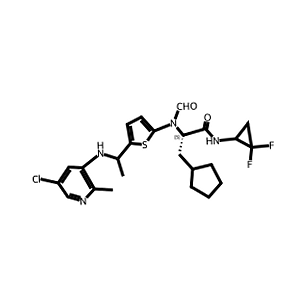 Cc1ncc(Cl)cc1NC(C)c1ccc(N(C=O)[C@@H](CC2CCCC2)C(=O)NC2CC2(F)F)s1